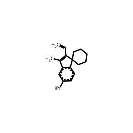 C=CC1=C(C)c2cc(C(C)C)ccc2C12CCCCC2